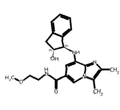 COCCNC(=O)c1cc(N[C@@H]2c3ccccc3C[C@H]2O)c2nc(C)c(C)n2c1